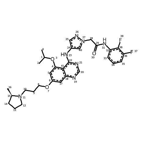 CC(C)Oc1cc(OCCCN2CCC[C@H]2C)cc2ncnc(Nc3cnn(CC(=O)Nc4cccc(F)c4F)c3)c12